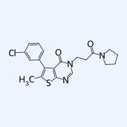 Cc1sc2ncn(CCC(=O)N3CCCC3)c(=O)c2c1-c1cccc(Cl)c1